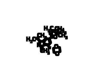 C1COCCO1.C=C(C)c1nn(C)c2c(F)cc(B3OC(C)(C)C(C)(C)O3)cc12